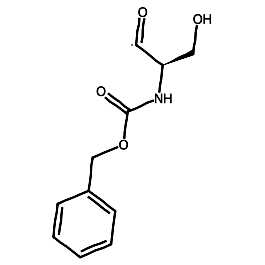 O=[C][C@@H](CO)NC(=O)OCc1ccccc1